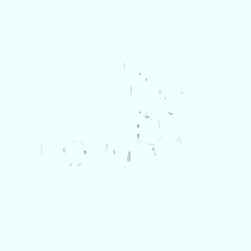 CC(C)CN1CC[C@H](C)N2C(=O)c3c(O)c(=O)c(C(=O)NCc4ccc(F)cc4F)cn3C[C@@H]12